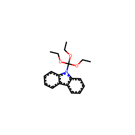 CCOC(OCC)(OCC)n1c2ccccc2c2ccccc21